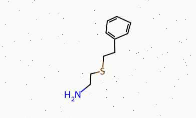 NCCSCCc1ccccc1